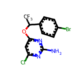 Nc1nc(Cl)cc(OC(c2ccc(Br)cc2)C(F)(F)F)n1